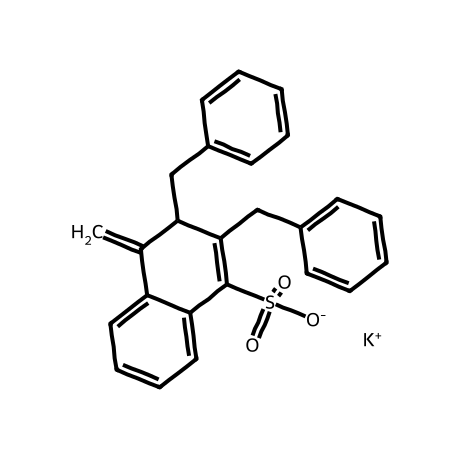 C=C1c2ccccc2C(S(=O)(=O)[O-])=C(Cc2ccccc2)C1Cc1ccccc1.[K+]